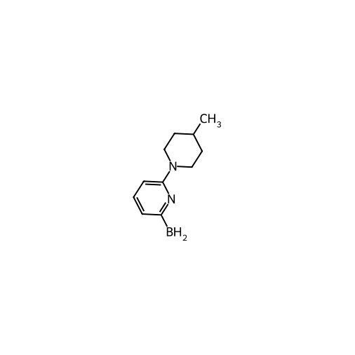 Bc1cccc(N2CCC(C)CC2)n1